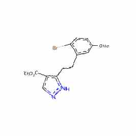 CCOC(=O)c1cn[nH]c1CCc1cc(OC)ccc1Br